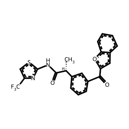 C[C@@H](C(=O)Nc1nc(C(F)(F)F)cs1)c1cccc(C(=O)c2cc3ccccc3o2)c1